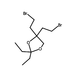 CCC1(CC)OCC(CCBr)(CCBr)O1